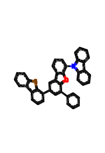 c1ccc(-c2cc(-c3cccc4c3sc3ccccc34)cc3c2oc2c(-n4c5ccccc5c5ccccc54)cccc23)cc1